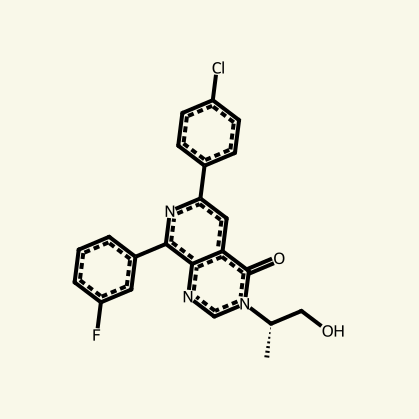 C[C@@H](CO)n1cnc2c(-c3cccc(F)c3)nc(-c3ccc(Cl)cc3)cc2c1=O